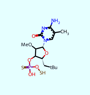 COC1C(OP(O)(=S)OS)[C@@H](CC(C)(C)C)O[C@H]1n1cc(C)c(N)nc1=O